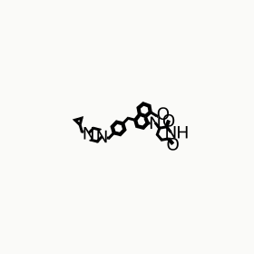 O=C1CCC(N2C(=O)c3cccc4c(Cc5ccc(CN6CCN(CC7CC7)CC6)cc5)ccc2c34)C(=O)N1